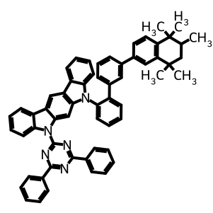 CC1CC(C)(C)c2cc(-c3cccc(-c4ccccc4-n4c5ccccc5c5cc6c7ccccc7n(-c7nc(-c8ccccc8)nc(-c8ccccc8)n7)c6cc54)c3)ccc2C1(C)C